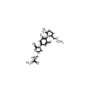 CSCC1CCC(C)N1c1c(F)cc(N2C[C@H](CNC(C)=O)OC2=O)cc1F